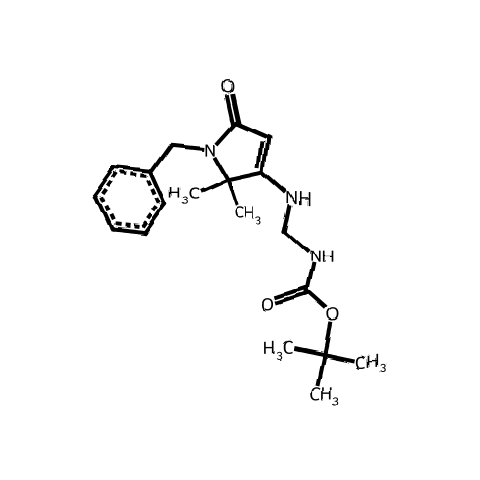 CC(C)(C)OC(=O)NCNC1=CC(=O)N(Cc2ccccc2)C1(C)C